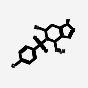 CCC1Cc2[nH]ncc2C(C(=O)O)N1S(=O)(=O)c1ccc(Cl)cc1